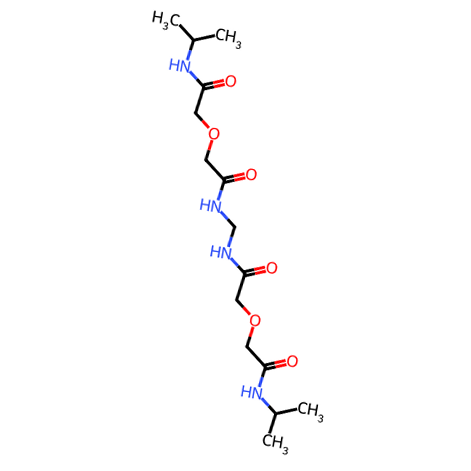 CC(C)NC(=O)COCC(=O)NCNC(=O)COCC(=O)NC(C)C